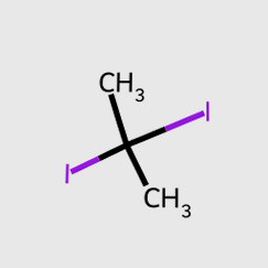 CC(C)(I)I